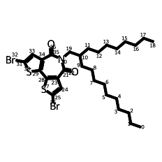 CCCCCCCCCCC(CCCCCCCC)Cn1c(=O)c2cc(Br)sc2c2sc(Br)cc2c1=O